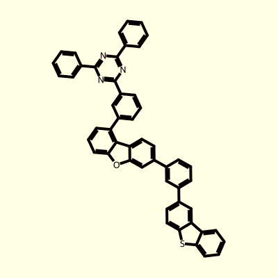 c1ccc(-c2nc(-c3ccccc3)nc(-c3cccc(-c4cccc5oc6cc(-c7cccc(-c8ccc9sc%10ccccc%10c9c8)c7)ccc6c45)c3)n2)cc1